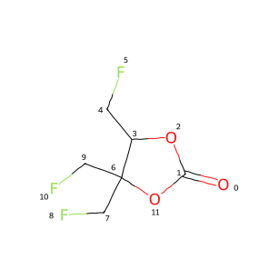 O=C1OC(CF)C(CF)(CF)O1